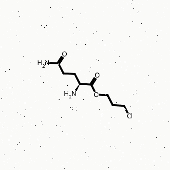 NC(=O)CC[C@H](N)C(=O)OCCCCl